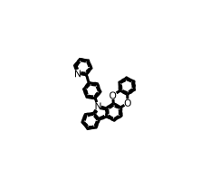 c1ccc(-c2ccc(-n3c4ccccc4c4ccc5c(c43)Oc3ccccc3O5)cc2)nc1